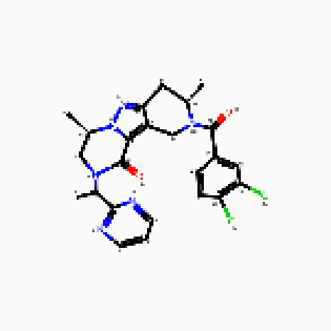 CC(c1ncccn1)N1C[C@@H](C)n2nc3c(c2C1=O)CN(C(=O)c1ccc(Cl)c(Cl)c1)[C@H](C)C3